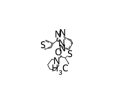 CCC(Sc1ccc2nnc(-c3ccsc3)n2n1)C(=O)N1CCCCC1